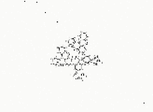 Cn1c2c(-c3cc4c5c(c3)Oc3ccccc3B5c3ccccc3O4)cc(C(C)(C)C)cc2c2cc(C(C)(C)C)cc(-c3cc4c5c(c3)Oc3ccccc3B5c3ccccc3O4)c21